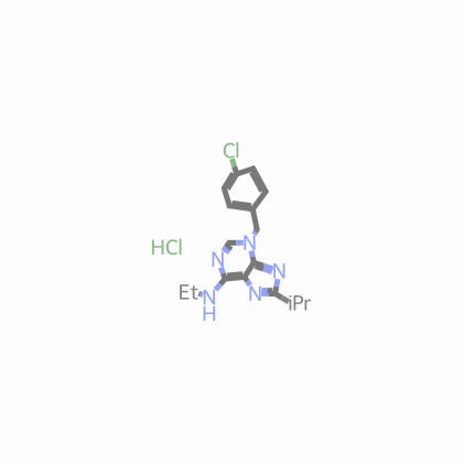 CCNc1ncn(Cc2ccc(Cl)cc2)c2nc(C(C)C)nc1-2.Cl